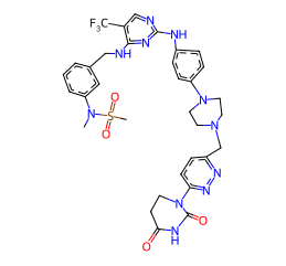 CN(c1cccc(CNc2nc(Nc3ccc(N4CCN(Cc5ccc(N6CCC(=O)NC6=O)nn5)CC4)cc3)ncc2C(F)(F)F)c1)S(C)(=O)=O